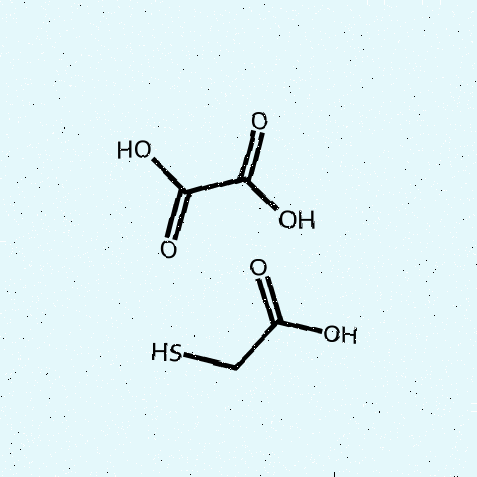 O=C(O)C(=O)O.O=C(O)CS